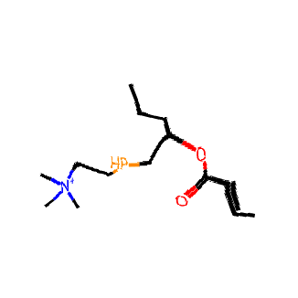 CC=CC(=O)OC(CCC)CPCC[N+](C)(C)C